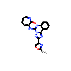 Cc1nc(-c2nc3c4ccccc4nc(Nc4ccccnc4=O)n3n2)co1